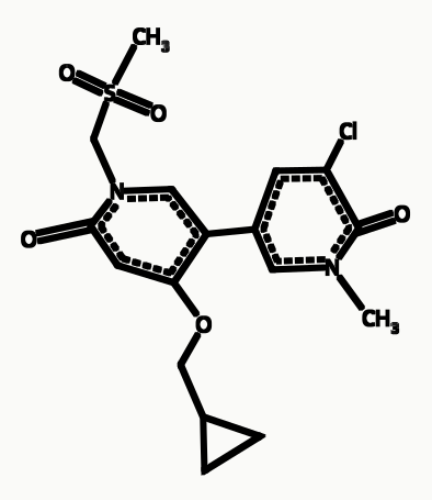 Cn1cc(-c2cn(CS(C)(=O)=O)c(=O)cc2OCC2CC2)cc(Cl)c1=O